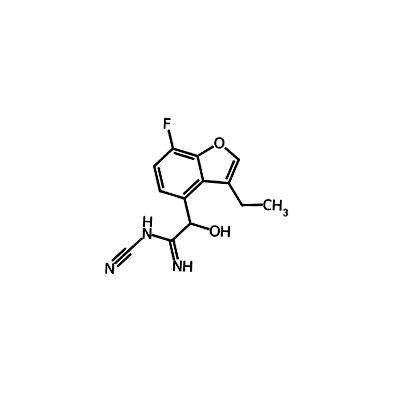 CCc1coc2c(F)ccc(C(O)C(=N)NC#N)c12